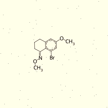 CON=C1CCCc2cc(OC)cc(Br)c21